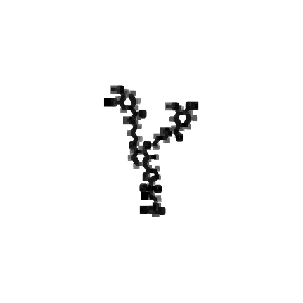 Cc1c(-c2ccc(S(=O)(=O)NC[PH](=O)O)s2)ccc(OCCCNC(=O)c2ccc(O)c(O)c2)c1OCCCNC(=O)c1ccc(O)c(O)c1